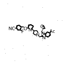 CC(=O)c1ccc2nc(CN3CCC(c4cccc(OCc5ccc(C#N)cc5F)n4)CC3)n(C[C@@H]3CCO3)c2c1